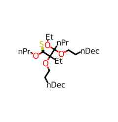 CCCCCCCCCCCCOC(CCC)(OCC)C(CC)(OCCCCCCCCCCCC)C(=S)OCCC